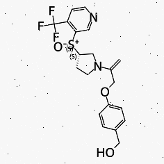 C=C(COc1ccc(CO)cc1)N1CC[C@H]([S@@+]([O-])c2cnccc2C(F)(F)F)C1